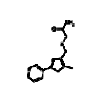 CC1=C(CSCC(N)=O)C=C(c2ccccc2)C1